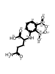 NC(=O)CCC(Nc1cccc([N+](=O)[O-])c1[N+](=O)[O-])C(=O)O